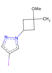 COC1(C)CC(n2cc(I)cn2)C1